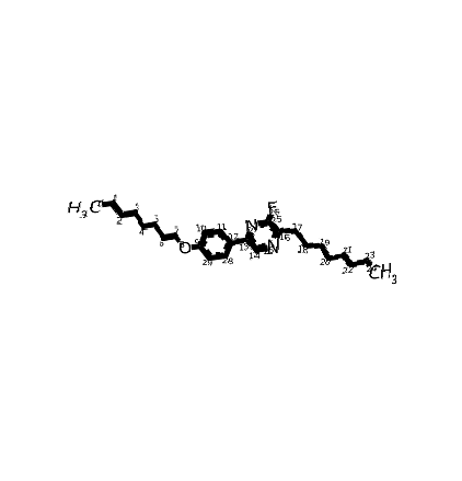 CCCCCCCCOc1ccc(-c2cnc(CCCCCCCC)c(F)n2)cc1